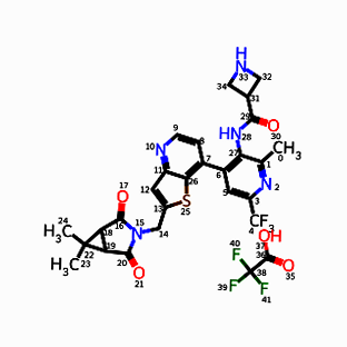 Cc1nc(C(F)(F)F)cc(-c2ccnc3cc(CN4C(=O)C5C(C4=O)C5(C)C)sc23)c1NC(=O)C1CNC1.O=C(O)C(F)(F)F